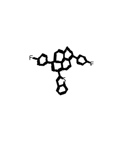 Fc1ccc(-c2ccc3ccc4c(-c5ccc(F)cc5)cc(-c5cc6ccccc6s5)c5ccc2c3c45)cc1